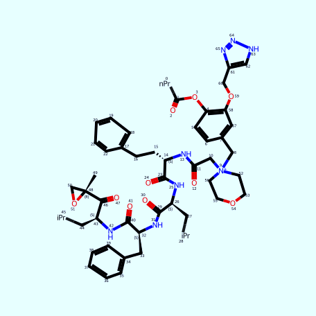 CCCC(=O)Oc1ccc(C[N+]2(CC(=O)N[C@@H](CCc3ccccc3)C(=O)N[C@@H](CC(C)C)C(=O)N[C@@H](Cc3ccccc3)C(=O)N[C@@H](CC(C)C)C(=O)[C@@]3(C)CO3)CCOCC2)cc1OCc1c[nH]nn1